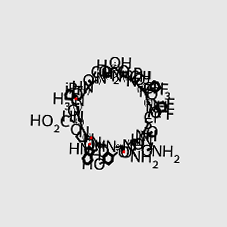 CCCC[C@H]1C(=O)N2C[C@@H](O)C[C@@H]2C(=O)N[C@@H](CC(=O)O)C(=O)N[C@@H](C(C)C)C(=O)N(C)[C@@H](Cc2ccccc2)C(=O)N[C@@H](CCC(=O)O)C(=O)N2CCCC[C@@H]2C(=O)N[C@@H](Cc2c[nH]c3ccccc23)C(=O)N[C@@H](Cc2ccc(O)cc2)C(=O)N[C@@H](CC(N)=O)C(=O)N[C@H](C(=O)NCC(N)=O)CSCC(=O)N[C@@H](Cc2cc(F)c(F)c(F)c2)C(=O)N(C)[C@@H](Cc2ccc(F)cc2)C(=O)N1C